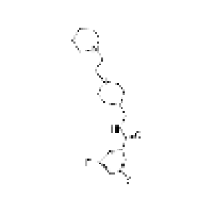 O=C(NCC1CCN(CCN2CCCCC2)CC1)c1cc(F)cc(Cl)c1